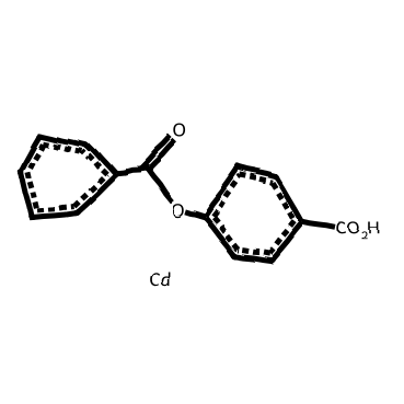 O=C(O)c1ccc(OC(=O)c2ccccc2)cc1.[Cd]